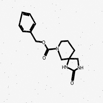 O=C1NCC2(CCCN(C(=O)OCc3ccccc3)C2)N1